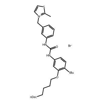 CCCCCCCCCCCCCCOc1cc(NC(=O)Nc2cccc(C[n+]3ccsc3C)c2)ccc1C(C)(C)C.[Br-]